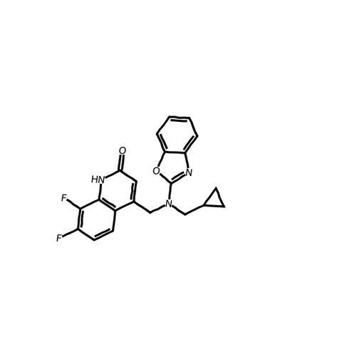 O=c1cc(CN(CC2CC2)c2nc3ccccc3o2)c2ccc(F)c(F)c2[nH]1